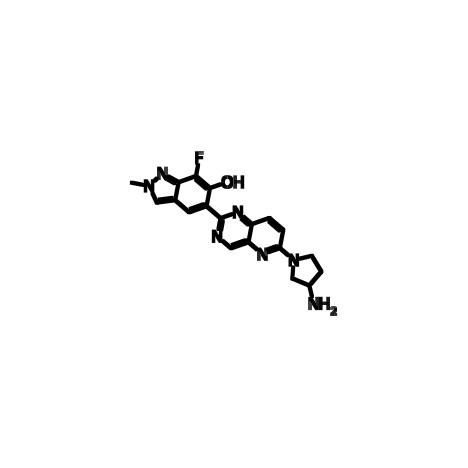 Cn1cc2cc(-c3ncc4nc(N5CCC(N)C5)ccc4n3)c(O)c(F)c2n1